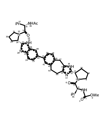 COC(=O)N[C@H](C(=O)N1CCC[C@H]1c1nc2c([nH]1)Cc1ccc(-c3ccc4nc([C@@H]5CCCN5C(=O)[C@@H](NC(C)=O)C(C)C)[nH]c4c3)cc1CC2)C(C)C